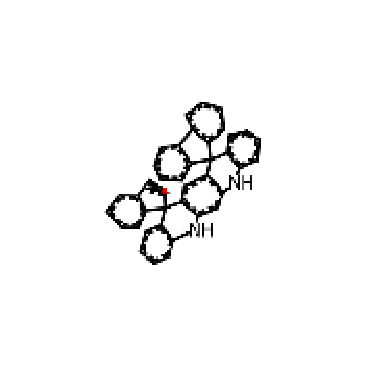 c1ccc2c(c1)Nc1cc3c(cc1C21c2ccccc2-c2ccccc21)C1(c2ccccc2N3)c2ccccc2-c2ccccc21